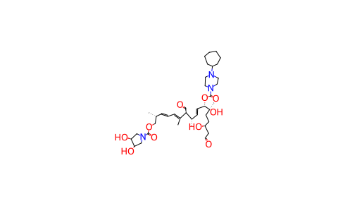 C/C(=C\C=C\[C@@H](C)COC(=O)N1C[C@@H](O)[C@@H](O)C1)[C@@H](C=O)[C@@H](C)/C=C/[C@H](OC(=O)N1CCN(C2CCCCCC2)CC1)[C@@](C)(O)CC[C@H](O)CC=O